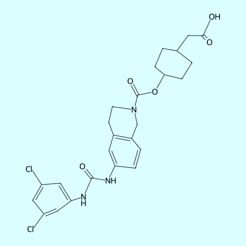 O=C(O)CC1CCC(OC(=O)N2CCc3cc(NC(=O)Nc4cc(Cl)cc(Cl)c4)ccc3C2)CC1